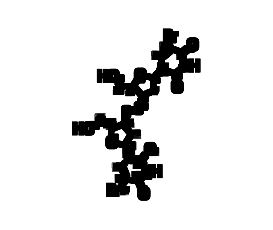 O=c1[nH]c(=O)n([C@H]2C[C@@H](SS[C@@H]3C[C@H](n4cc(Br)c(=O)[nH]c4=O)O[C@@H]3CO)[C@@H](CO)O2)cc1Br